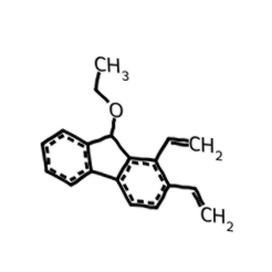 C=Cc1ccc2c(c1C=C)C(OCC)c1ccccc1-2